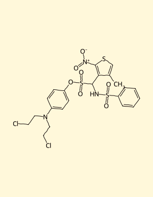 Cc1csc([N+](=O)[O-])c1C(NS(=O)(=O)c1ccccc1)S(=O)(=O)Oc1ccc(N(CCCl)CCCl)cc1